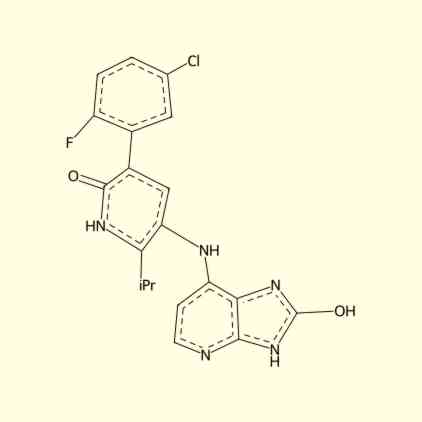 CC(C)c1[nH]c(=O)c(-c2cc(Cl)ccc2F)cc1Nc1ccnc2[nH]c(O)nc12